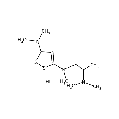 CC(CN(C)C1=NC(N(C)C)SS1)N(C)C.I